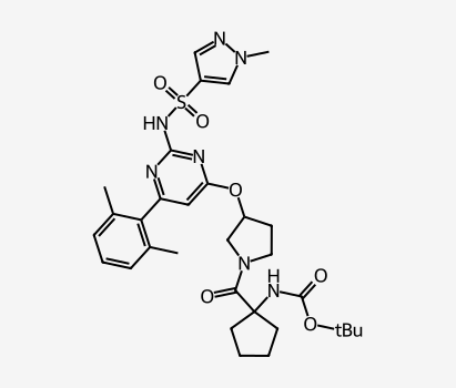 Cc1cccc(C)c1-c1cc(OC2CCN(C(=O)C3(NC(=O)OC(C)(C)C)CCCC3)C2)nc(NS(=O)(=O)c2cnn(C)c2)n1